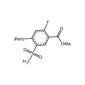 CCCC(C)c1cc(F)c(C(=O)OC)cc1S(C)(=O)=O